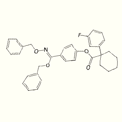 O=C(Oc1ccc(C(=NOCc2ccccc2)OCc2ccccc2)cc1)C1(c2cccc(F)c2)CCCCC1